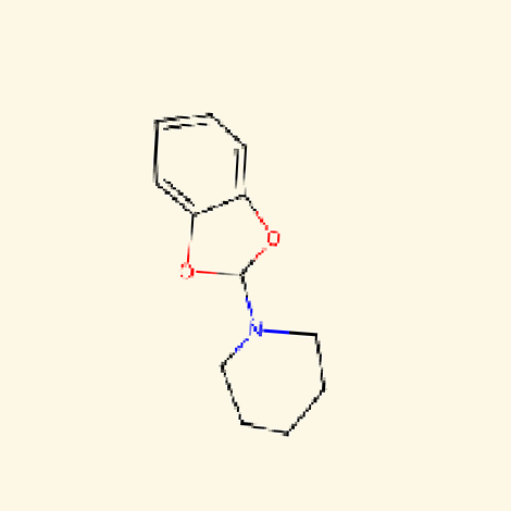 c1ccc2c(c1)OC(N1CCCCC1)O2